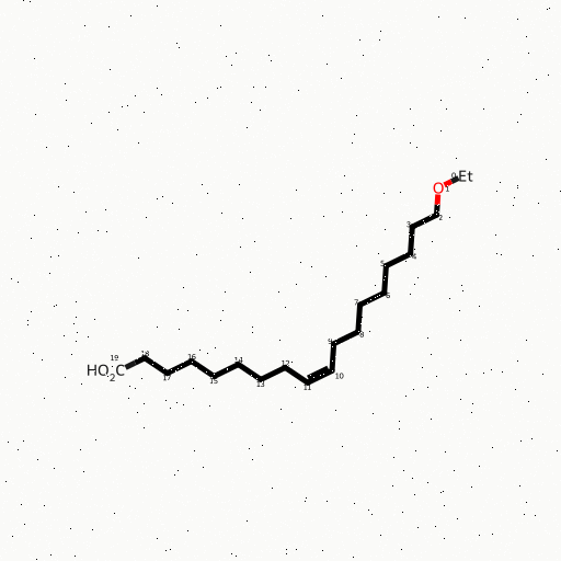 [CH2]COCCCCCCCC/C=C\CCCCCCCC(=O)O